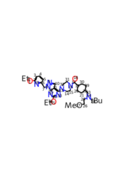 CCOc1cccc(Cn2ncc3c(N4CCN(C(=O)C5CCC(CN(CCOC)C(C)(C)C)CC5)CC4)nc(OCC)nc32)n1